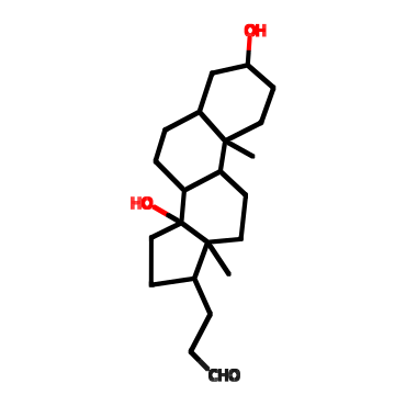 CC12CCC(O)CC1CCC1C2CCC2(C)C(CCC=O)CCC12O